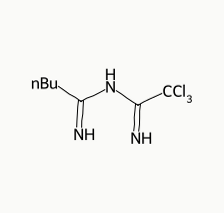 CCCCC(=N)NC(=N)C(Cl)(Cl)Cl